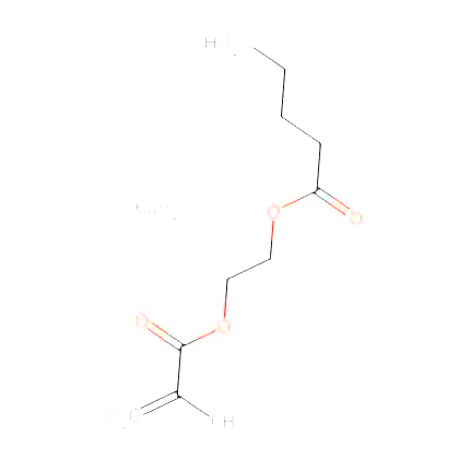 C=C(C)C(=O)OCCOC(=O)CCCC(=O)O.[CaH2]